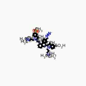 CC1(C)C(/C=C/C2=C(c3ccc(CN=[N+]=[N-])cc3)C(=C/C=C3/N(CCC[N+](C)(C)C)c4ccc(S(C)(=O)=O)cc4C3(C)C)/CCC2)=[N+](CCC[N+](C)(C)C)c2ccc(S(=O)(=O)O)cc21